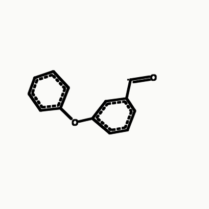 O=[C]c1cccc(Oc2ccccc2)c1